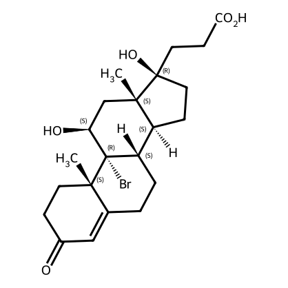 C[C@]12CCC(=O)C=C1CC[C@H]1[C@@H]3CC[C@@](O)(CCC(=O)O)[C@@]3(C)C[C@H](O)[C@@]12Br